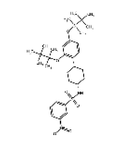 CC(C)(C)[Si](C)(C)Oc1ccc([C@H]2CC[C@@H](NS(=O)(=O)c3cccc([N+](=O)[O-])c3)CC2)c(O[Si](C)(C)C(C)(C)C)c1